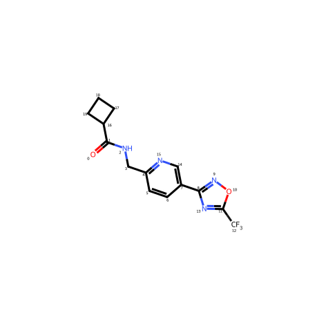 O=C(NCc1ccc(-c2noc(C(F)(F)F)n2)cn1)C1CCC1